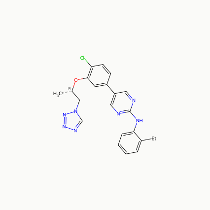 CCc1ccccc1Nc1ncc(-c2ccc(Cl)c(O[C@@H](C)Cn3cnnn3)c2)cn1